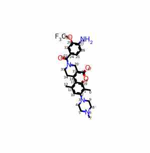 Cc1c(N2CCN(C)CC2)cc(C)c2c3c(c(=O)oc12)CN(C(=O)c1ccc(N)c(OC(F)(F)F)c1)CC3